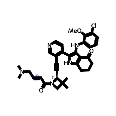 COc1c(Cl)cccc1Nc1c(-c2ccncc2C#C[C@@H]2N(C(=O)/C=C/CN(C)C)CC2(C)C)[nH]c2c1C(=O)CCC2